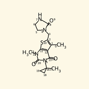 Cc1c(CN2CCNC2=O)sc2c1c(=O)n(C1(C)CC1)c(=O)n2C